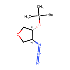 CC(C)(C)[Si](C)(C)O[C@H]1COC[C@@H]1N=[N+]=[N-]